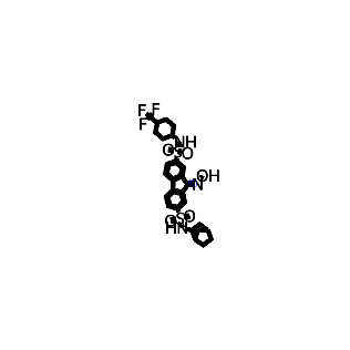 O=S(=O)(NC1CCC(C(F)(F)F)CC1)c1ccc2c(c1)/C(=N\O)c1cc(S(=O)(=O)NC3CC4CCC3C4)ccc1-2